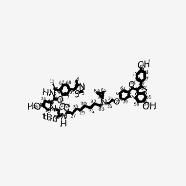 Cc1ncsc1-c1ccc([C@H](C)NC(=O)[C@@H]2C[C@@H](O)CN2C(=O)C(NC(=O)CCCCCCCN(CCOc2ccc(C(=O)c3c(-c4ccc(O)cc4)sc4cc(O)ccc34)cc2)C2CC2)C(C)(C)C)cc1